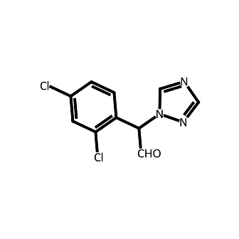 O=CC(c1ccc(Cl)cc1Cl)n1cncn1